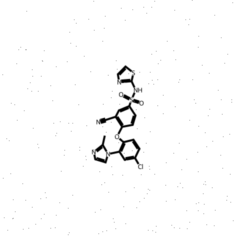 Cc1nccn1-c1cc(Cl)ccc1Oc1ccc(S(=O)(=O)Nc2nccs2)cc1C#N